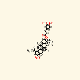 C=C(C)C1CCC2(CO)CC[C@@]3(C)C(CCC4[C@@]5(C)CCC(OC(=O)/C=C/c6ccc(O)c(O)c6)C(C)(C)C5CC[C@]43C)C12